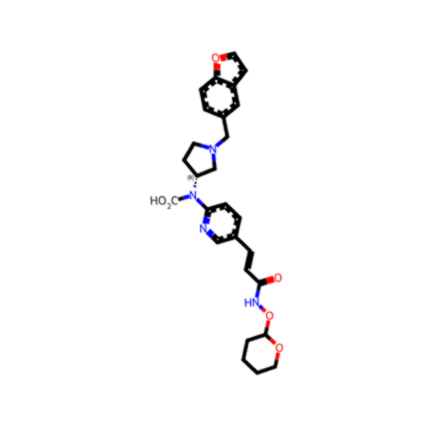 O=C(C=Cc1ccc(N(C(=O)O)[C@@H]2CCN(Cc3ccc4occc4c3)C2)nc1)NOC1CCCCO1